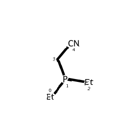 CCP(CC)CC#N